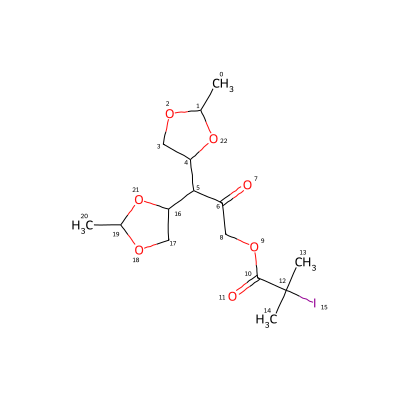 CC1OCC(C(C(=O)COC(=O)C(C)(C)I)C2COC(C)O2)O1